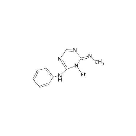 CCn1c(Nc2ccccc2)ncnc1=NC